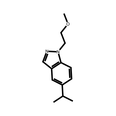 COCCn1ncc2cc(C(C)C)ccc21